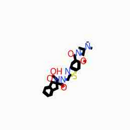 COc1cc2sc(CNC(=O)C3(CC(=O)O)Cc4ccccc4C3)nc2cc1C(=O)N1CC(N(C)C)C1